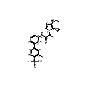 CNc1ncn([C@@H](C)C(=O)NC2C=CN=C(c3cnc(C(F)(F)F)c(C)c3)N2)c1O